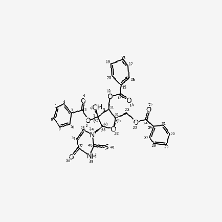 C[C@@]1(OC(=O)c2ccccc2)C(OC(=O)c2ccccc2)[C@@H](COC(=O)c2ccccc2)O[C@H]1n1ccc(=O)[nH]c1=S